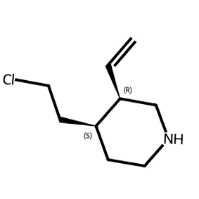 C=C[C@H]1CNCC[C@H]1CCCl